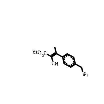 CCOC(=O)C(C#N)=C(C)c1ccc(CC(C)C)cc1